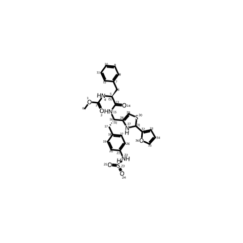 COC(=O)N[C@@H](Cc1ccccc1)C(=O)N[C@@H](Cc1ccc(N[SH](=O)=O)cc1)C1=CSC(c2ccco2)N1